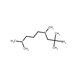 CN(C)CCCN(C)CC(C)(C)N